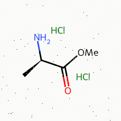 COC(=O)[C@@H](C)N.Cl.Cl